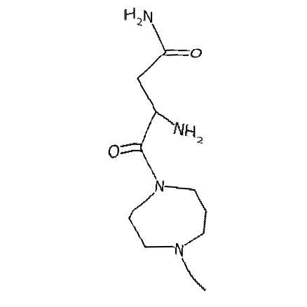 CN1CCN(C(=O)C(N)CC(N)=O)CC1